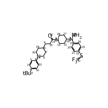 CC(C)(C)c1ccc(N2CCC(CCC(=O)N3CCC(N(N)c4ccc(SC(F)(F)F)cc4)CC3)CC2)cc1